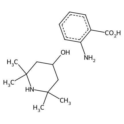 CC1(C)CC(O)CC(C)(C)N1.Nc1ccccc1C(=O)O